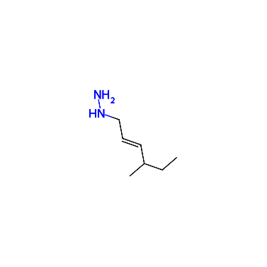 CCC(C)C=CCNN